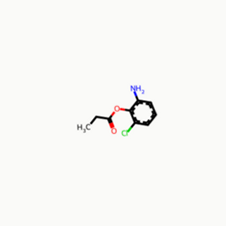 CCC(=O)Oc1c(N)cccc1Cl